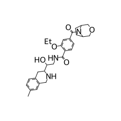 CCOc1cc(C(=O)N2C3CCC2COC3)ccc1C(=O)NCC(O)C1Cc2ccc(C)cc2CN1